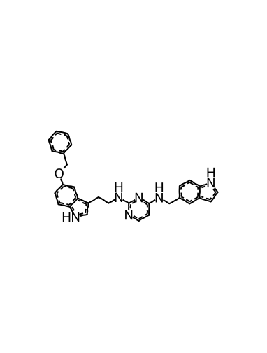 c1ccc(COc2ccc3[nH]cc(CCNc4nccc(NCc5ccc6[nH]ccc6c5)n4)c3c2)cc1